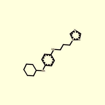 c1ncn(CCCNc2ccc(NC3CCCCC3)cc2)n1